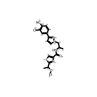 CCOC(C)c1nc(C(=O)NC(C)Cn2ccc(-c3ccc(C#N)c(Cl)c3)n2)cs1